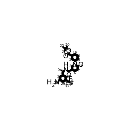 C[C@@H](NC(=O)c1ccc(=O)n(-c2cccc(C(=O)OC(C)(C)C)c2)c1)c1cc(N)cc(C(F)(F)F)c1